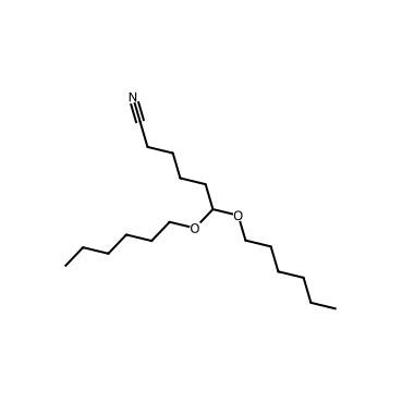 CCCCCCOC(CCCCC#N)OCCCCCC